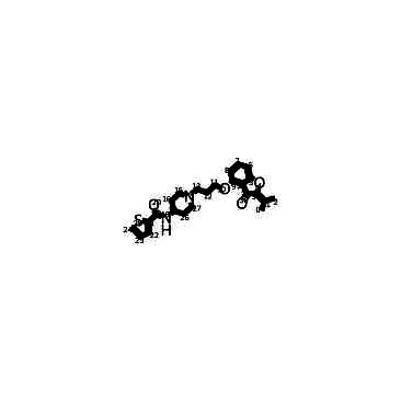 CC(C)=C1Oc2cccc(OCCCN3CCC(NC(=O)c4cccs4)CC3)c2C1=O